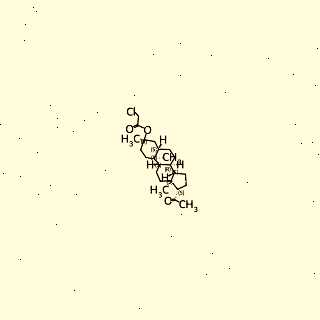 CC(=O)[C@H]1CC[C@H]2[C@@H]3CC[C@H]4C[C@](C)(OC(=O)CCl)CC[C@]4(C)[C@H]3CC[C@]12C